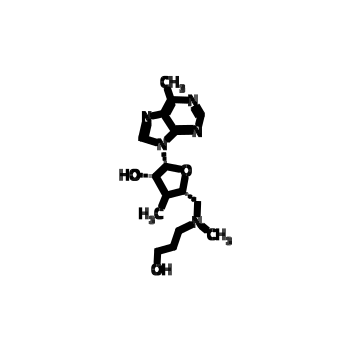 Cc1ncnc2c1ncn2[C@@H]1O[C@H](CN(C)CCCO)C(C)[C@@H]1O